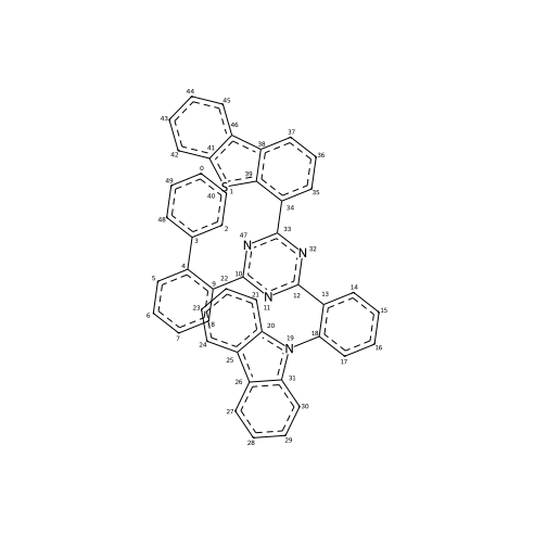 c1ccc(-c2ccccc2-c2nc(-c3ccccc3-n3c4ccccc4c4ccccc43)nc(-c3cccc4c3sc3ccccc34)n2)cc1